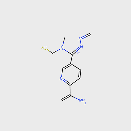 C=N/N=C(/c1ccc(C(=C)N)nc1)N(C)CS